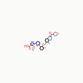 CCOc1c(C(=O)O)cnn1-c1cccc(-c2cccc(C)c2OCc2ccc3c(c2C)CCN(C(=O)C2CCOCC2)C3)n1